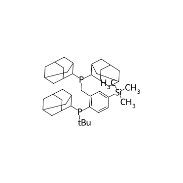 CC(C)(C)P(c1ccc([Si](C)(C)C)cc1CP(C1C2CC3CC(C2)CC1C3)C1C2CC3CC(C2)CC1C3)C1C2CC3CC(C2)CC1C3